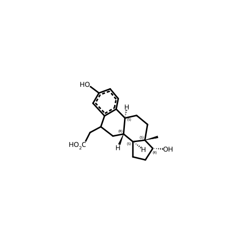 C[C@]12CC[C@@H]3c4ccc(O)cc4C(CC(=O)O)C[C@H]3[C@@H]1CC[C@H]2O